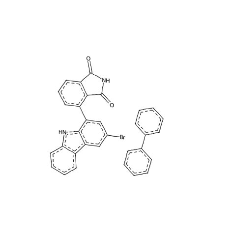 O=C1NC(=O)c2c1cccc2-c1cc(Br)cc2c1[nH]c1ccccc12.c1ccc(-c2ccccc2)cc1